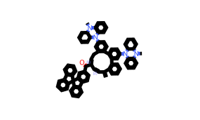 C=C1/C=C\C(C(=O)c2ccc3c(c2)C2(c4ccccc4-c4ccccc42)c2ccccc2-3)=C/Cc2cc(N3c4ccccc4N(C)C4C=CC=CC43)ccc2-c2ccc(N3c4ccccc4N(C)C4C=CC=CC43)cc2-c2ccccc21